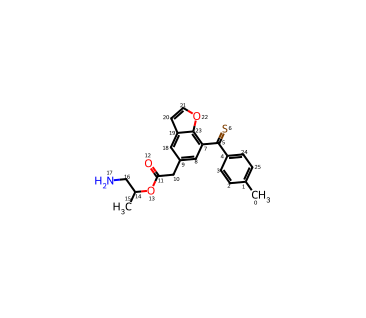 Cc1ccc(C(=S)c2cc(CC(=O)OC(C)CN)cc3ccoc23)cc1